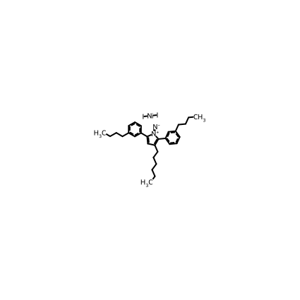 CCCCCCC1=C(c2cccc(CCCC)c2)[N+](=[N-])C(c2cccc(CCCC)c2)=C1.[I][Ni][I]